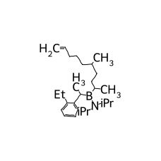 C=CCCCC(C)CCC(C)B(C(C)c1ccccc1CC)N(C(C)C)C(C)C